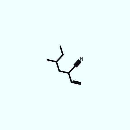 C=CC(C#N)CC(C)CC